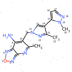 Cc1nc2nonc2c(N)c1Cn1cc(-c2ccnn2C)c(C(F)(F)F)n1